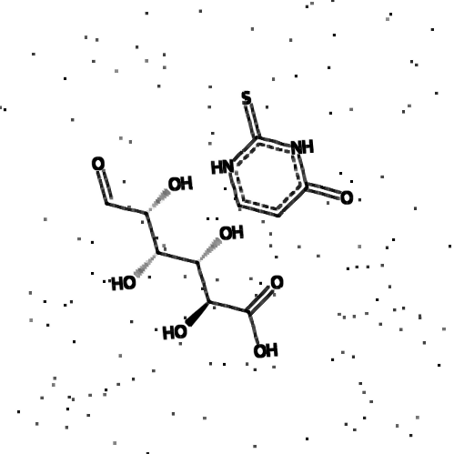 O=C[C@H](O)[C@@H](O)[C@H](O)[C@H](O)C(=O)O.O=c1cc[nH]c(=S)[nH]1